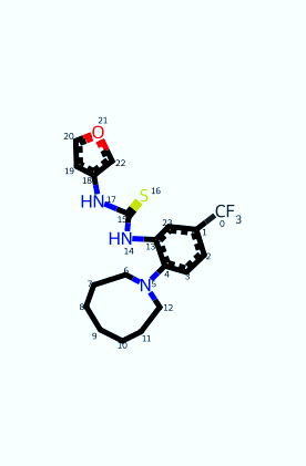 FC(F)(F)c1ccc(N2CCCCCCC2)c(NC(=S)Nc2ccoc2)c1